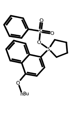 CCCCOc1ccc(S2(OS(=O)(=O)c3ccccc3)CCCC2)c2ccccc12